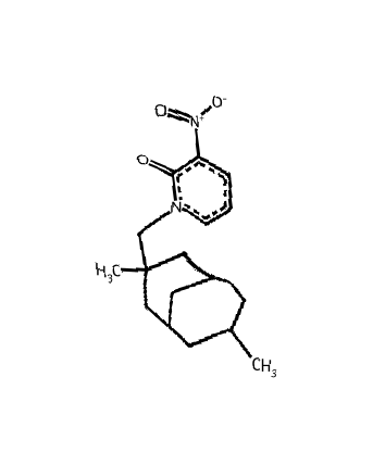 CC1CC2CC(C1)CC(C)(Cn1cccc([N+](=O)[O-])c1=O)C2